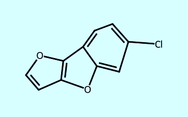 Clc1ccc2c(c1)oc1ccoc12